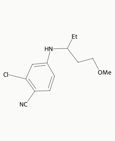 CCC(CCOC)Nc1ccc(C#N)c(Cl)c1